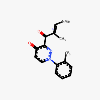 CN/C=C(\C)C(=O)c1nn(-c2ccccc2C(F)(F)F)ccc1=O